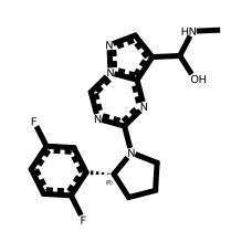 CNC(O)c1cnn2cnc(N3CCC[C@@H]3c3cc(F)ccc3F)nc12